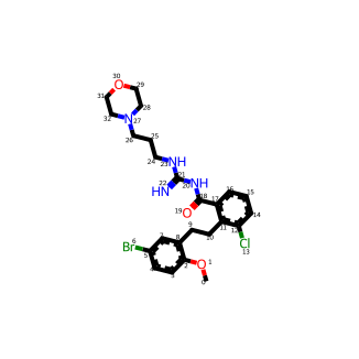 COc1ccc(Br)cc1CCc1c(Cl)cccc1C(=O)NC(=N)NCCCN1CCOCC1